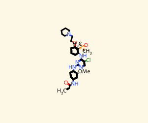 C=CC(=O)Nc1ccc(Nc2ncc(Cl)c(Nc3cccc(OCCN4CCCCC4)c3P(C)(C)=O)n2)c(OC)c1